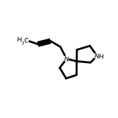 CC#CCN1CCCC12CCNC2